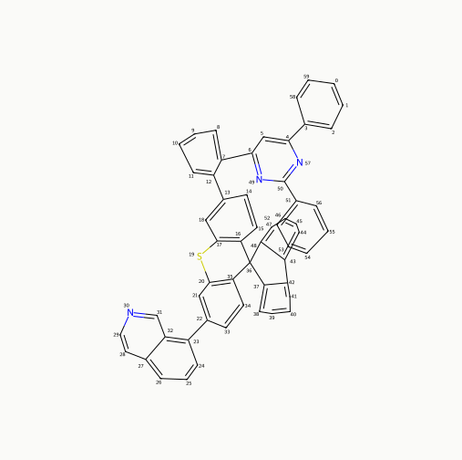 c1ccc(-c2cc(-c3ccccc3-c3ccc4c(c3)Sc3cc(-c5cccc6ccncc56)ccc3C43c4ccccc4-c4ccccc43)nc(-c3ccccc3)n2)cc1